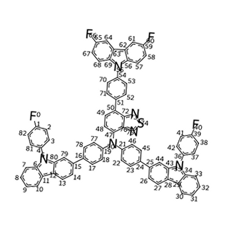 Fc1ccc(-n2c3ccccc3c3ccc(-c4ccc(N(c5ccc(-c6ccc7c8ccccc8n(-c8ccc(F)cc8)c7c6)cc5)c5ccc(-c6ccc(-n7c8ccc(F)cc8c8cc(F)ccc87)cc6)c6nsnc56)cc4)cc32)cc1